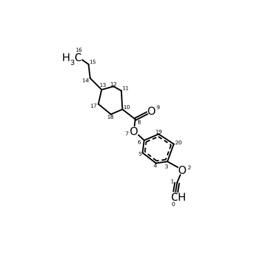 C#COc1ccc(OC(=O)C2CCC(CCC)CC2)cc1